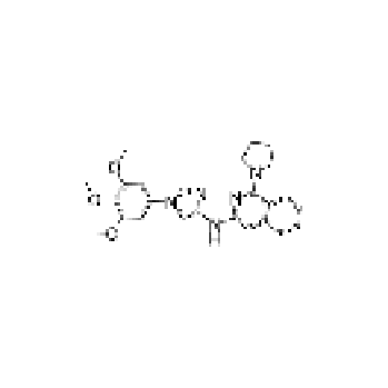 COc1cc(-n2cnc(Nc3cc4ccccc4c(N4CCCC4)n3)c2)cc(OC)c1OC